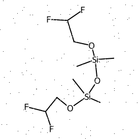 C[Si](C)(OCC(F)F)O[Si](C)(C)OCC(F)F